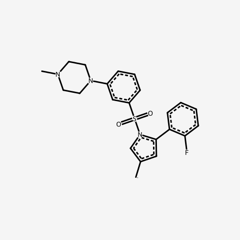 [CH2]c1cc(-c2ccccc2F)n(S(=O)(=O)c2cccc(N3CCN(C)CC3)c2)c1